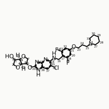 O[C@@H]1CO[C@H]2[C@@H]1OC[C@H]2Oc1nc2nc(NCc3c(F)cc(OCCCN4CCCCC4)cc3F)c(Cl)cc2[nH]1